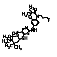 CN1C(C)(C)CC(Nc2nc(Nc3ccc4c(c3)OC(C)(C)C(=O)N4CCCF)ncc2F)CC1(C)C